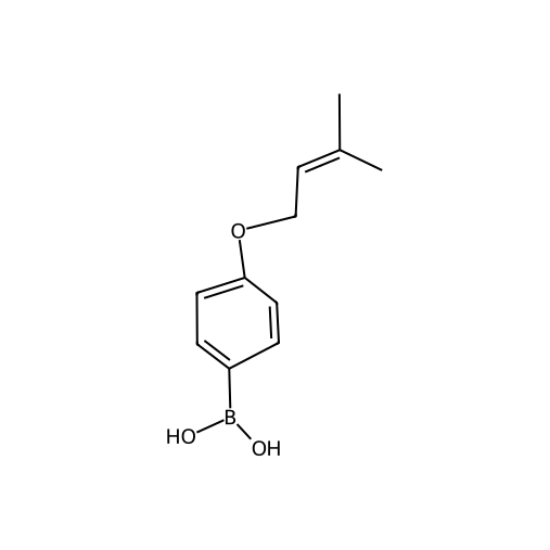 CC(C)=CCOc1ccc(B(O)O)cc1